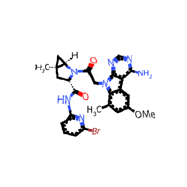 COc1cc(C)c2c(c1)c1c(N)ncnc1n2CC(=O)N1[C@H](C(=O)Nc2cccc(Br)n2)C[C@@]2(C)C[C@@H]12